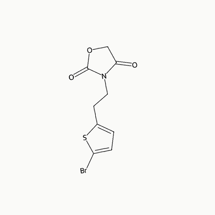 O=C1COC(=O)N1CCc1ccc(Br)s1